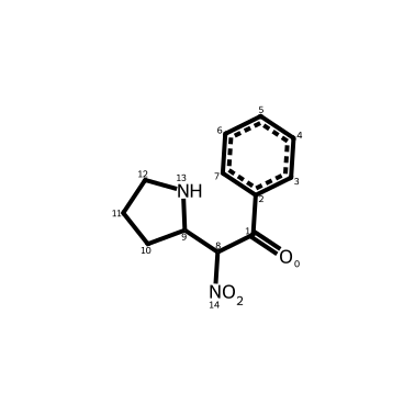 O=C(c1ccccc1)C(C1CCCN1)[N+](=O)[O-]